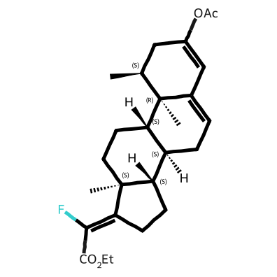 CCOC(=O)C(F)=C1CC[C@H]2[C@@H]3CC=C4C=C(OC(C)=O)C[C@H](C)[C@]4(C)[C@H]3CC[C@]12C